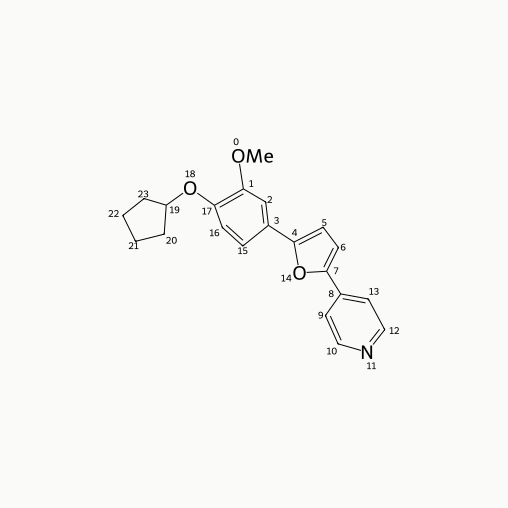 COc1cc(-c2ccc(-c3ccncc3)o2)ccc1OC1CCCC1